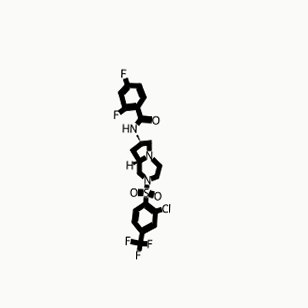 O=C(N[C@H]1C[C@H]2CN(S(=O)(=O)c3ccc(C(F)(F)F)cc3Cl)CCN2C1)c1ccc(F)cc1F